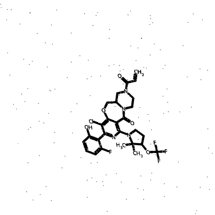 C=CC(=O)N1CCN2C(=O)c3c(N4CCC(OC(F)(F)F)C4(C)C)nc(-c4c(O)cccc4F)c(Cl)c3OCC2C1